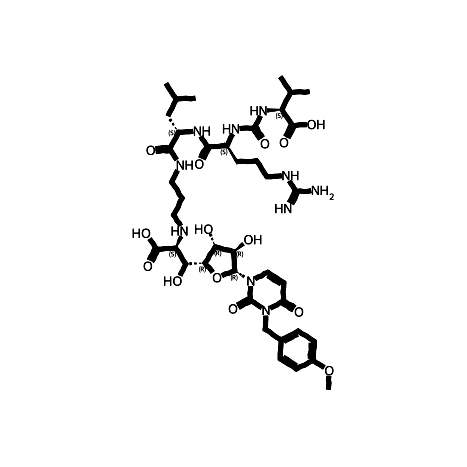 COc1ccc(Cn2c(=O)ccn([C@@H]3O[C@H](C(O)[C@H](NCCCNC(=O)[C@H](CC(C)C)NC(=O)[C@H](CCCNC(=N)N)NC(=O)N[C@H](C(=O)O)C(C)C)C(=O)O)[C@H](O)[C@H]3O)c2=O)cc1